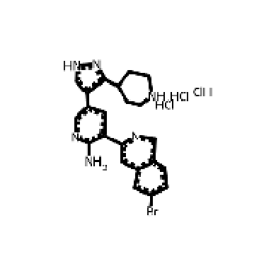 Cl.Cl.Cl.Nc1ncc(-c2c[nH]nc2C2CCNCC2)cc1-c1cc2cc(Br)ccc2cn1